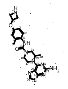 Cc1cc(OC2CNC2)ccc1NC(=O)N1CCN(c2nc(N)nc3scnc23)C(C)C1